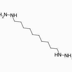 NNCCCCCCCCCCNN